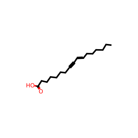 CCCCCC/C=C/C#CCCCCCCC(=O)O